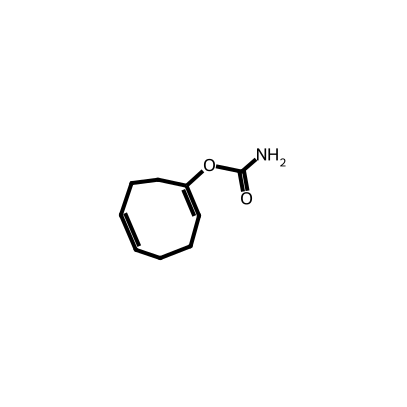 NC(=O)OC1=CCCC=CCC1